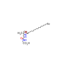 C=C(C)C(CCC(=O)NCC(=O)O)NC(=O)CCCCCCCCCCCCCCCCC(C)=O